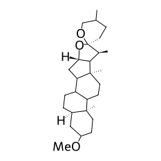 COC1CC[C@]2(C)C3CC[C@@]4(C)C(C[C@@H]5O[C@]6(CCC(C)CO6)[C@@H](C)C54)C3CC[C@@H]2C1